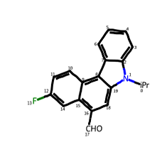 CC(C)n1c2ccccc2c2c3ccc(F)cc3c(C=O)cc21